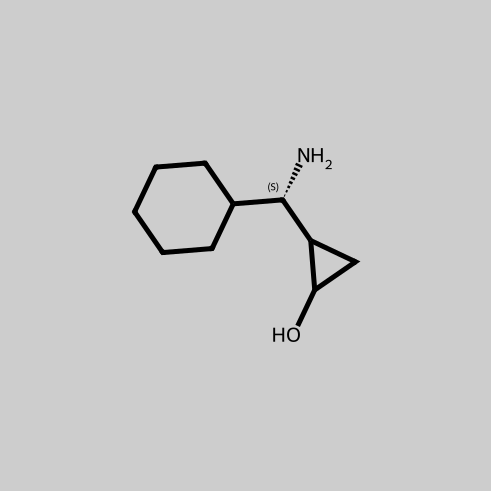 N[C@@H](C1CCCCC1)C1CC1O